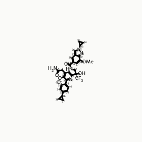 CCOc1c(CC(N)=O)cc([C@](O)(CNC(=O)c2cc(OC)c3nn(C4CC4)cc3c2)C(F)(F)F)nc1-c1ccc(C2CC2)cc1